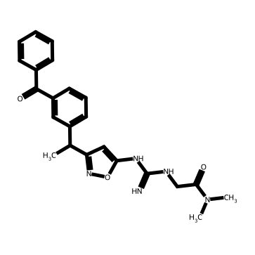 CC(c1cccc(C(=O)c2ccccc2)c1)c1cc(NC(=N)NCC(=O)N(C)C)on1